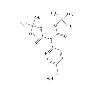 CC(C)(C)OC(=O)N(C(=O)OC(C)(C)C)c1ccc(CN)cn1